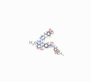 Cc1nc(N2CCN(Cc3ccc4c(c3)OCO4)CC2)nc2c1ccc(=O)n2-c1ccc(C(=O)NCc2ccc(S(C)(=O)=O)cc2)cc1